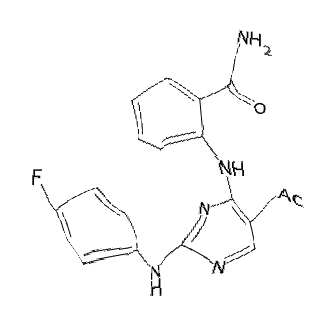 CC(=O)c1cnc(Nc2ccc(F)cc2)nc1Nc1ccccc1C(N)=O